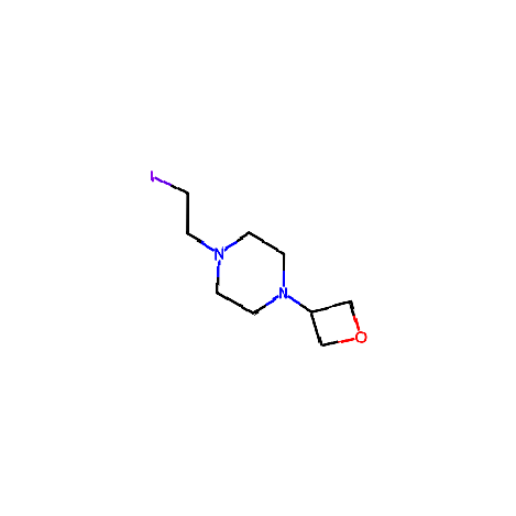 ICCN1CCN(C2COC2)CC1